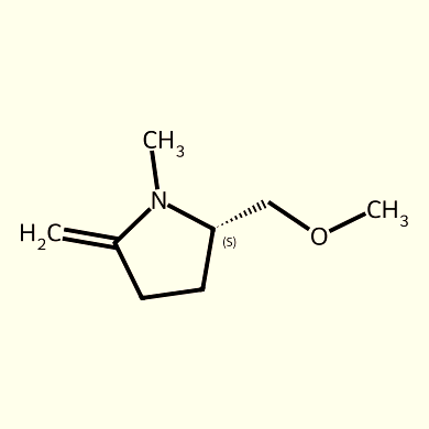 C=C1CC[C@@H](COC)N1C